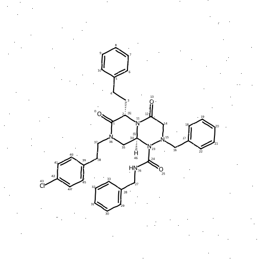 O=C1[C@H](CCc2ccccc2)N2C(=O)CN(Cc3ccccc3)N(C(=O)NCc3ccccc3)[C@H]2CN1CCc1ccc(Cl)cc1